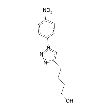 O=[N+]([O-])c1ccc(-n2cc(CCCCO)nn2)cc1